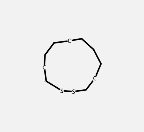 [CH]1CCCCCCCCCSS1